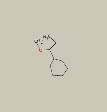 [CH2]OC(CC)C1CCCCC1